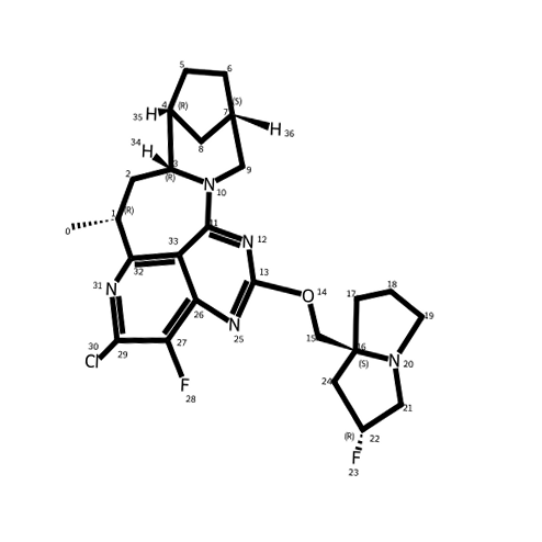 C[C@@H]1C[C@@H]2[C@@H]3CC[C@@H](C3)CN2c2nc(OC[C@@]34CCCN3C[C@H](F)C4)nc3c(F)c(Cl)nc1c23